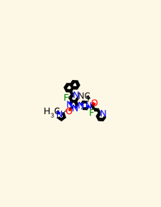 CN1CCC[C@H]1COc1nc(N2CCN(C(=O)/C(F)=C/c3ccccn3)[C@@H](CC#N)C2)c2cnc(-c3cccc4ccccc34)c(F)c2n1